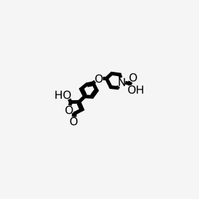 O=C1C=C(c2ccc(OC3CCN(C(=O)O)CC3)cc2)C(O)O1